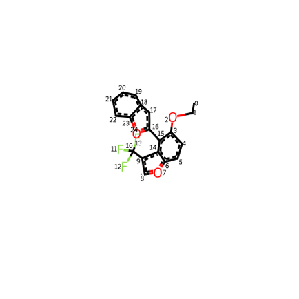 CCOc1ccc2o[c]c(C(F)(F)F)c2c1-c1cc2ccccc2o1